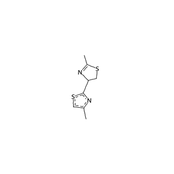 CC1=NC(c2nc(C)cs2)CS1